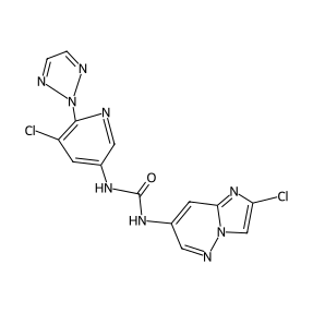 O=C(Nc1cnc(-n2nccn2)c(Cl)c1)Nc1cnn2cc(Cl)nc2c1